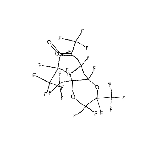 O=C(F)C(F)(OC(F)(C(=O)C(F)(F)F)C1(F)OC(F)(C(F)(F)F)C(F)(F)OC1(F)C(F)(F)F)C(F)(F)F